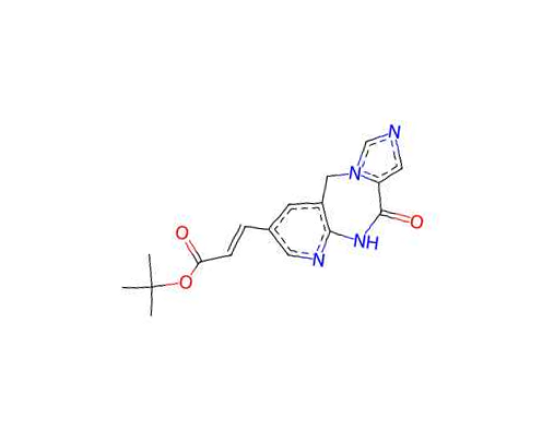 CC(C)(C)OC(=O)/C=C/c1cnc2c(c1)Cn1cncc1C(=O)N2